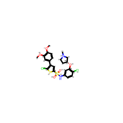 COc1ccc(-c2cc(S(=O)(=O)Nc3ccc(Cl)c(O[C@@H]4CCN(C)C4)c3)sc2Cl)cc1OC